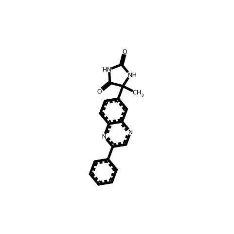 CC1(c2ccc3nc(-c4ccccc4)cnc3c2)NC(=O)NC1=O